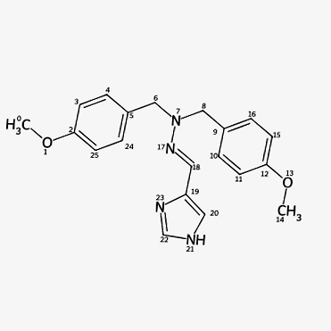 COc1ccc(CN(Cc2ccc(OC)cc2)N=Cc2c[nH]cn2)cc1